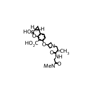 CNC(=O)CNC(=O)[C@@H](C)CN1CC(Oc2ccc3c(c2C(=O)O)OB(O)[C@H]2C[C@@H]32)C1